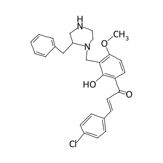 COc1ccc(C(=O)/C=C/c2ccc(Cl)cc2)c(O)c1CN1CCNCC1Cc1ccccc1